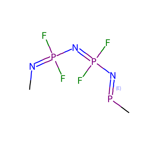 CN=P(F)(F)N=P(F)(F)/N=P/C